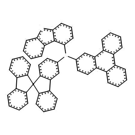 c1ccc2c(c1)-c1ccccc1C21c2ccccc2-c2cc(N(c3ccc4c5ccccc5c5ccccc5c4c3)c3cccc4sc5ccccc5c34)ccc21